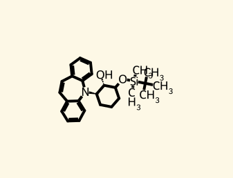 CC(C)(C)[Si](C)(C)OC1CCC[C@@H](N2c3ccccc3C=Cc3ccccc32)[C@@H]1O